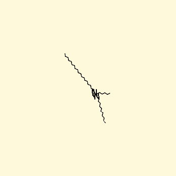 CCCCCCCCCCCCCCCCCCCN1C=CN(CCCCCCCCCCC)C1CCCCC